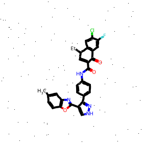 CCC1C=C(C(=O)Nc2ccc(-c3n[nH]cc3-c3nc4cc(C)ccc4o3)cc2)C(=O)c2cc(F)c(Cl)cc21